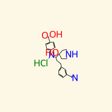 CN(c1ccc(C(=O)O)cc1)C(CCc1cccc(C#N)c1)C1(O)CCNCC1.Cl